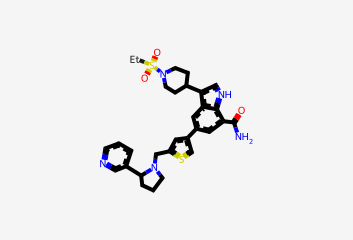 CCS(=O)(=O)N1CCC(c2c[nH]c3c(C(N)=O)cc(-c4csc(CN5CCCC5c5cccnc5)c4)cc23)CC1